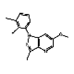 COc1cnc2c(I)nn(-c3cccc(C)c3C)c2c1